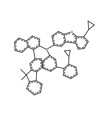 CC1(C)c2ccccc2-c2ccc(-c3c(N(c4cccc(-c5ccccc5C5CC5)c4)c4ccc5oc6c(C7CC7)cccc6c5c4)ccc4ccccc34)cc21